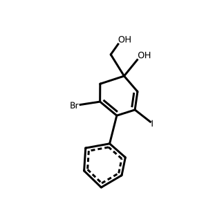 OCC1(O)C=C(I)C(c2ccccc2)=C(Br)C1